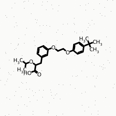 CC(C)OC(Cc1cccc(OCCOc2ccc(C(C)(C)C)cc2)c1)C(=O)O